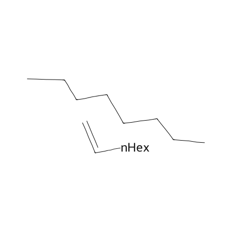 C=CCCCCCC.CCCCCCCC